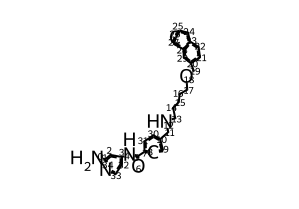 Nc1cc(NC(=O)c2ccc(CNCCCCCOCc3ccc4ccccc4c3)cc2)ccn1